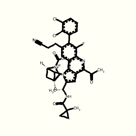 CC(=O)c1nc2c(F)c(-c3cccc(Cl)c3Cl)c(CCC#N)cc2c2c1cc([C@@H](C)NC(=O)C1(C)CC1)n2[C@H]1[C@@H]2C[C@H]1N(C(=O)O)C2